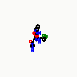 CN(C(=O)NCc1cccc(F)c1Cl)C(CCC(=O)N1CCNCC1)COC(=O)Nc1cc2ccccc2cn1